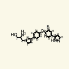 NC(CO)Cn1ccc(-c2ccc(Oc3ncc(-c4ccn[nH]4)cc3F)cc2)n1